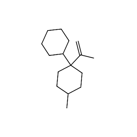 C=C(C)C1(C2CCCCC2)CCC(C)CC1